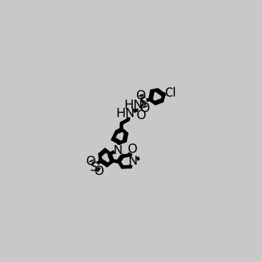 CN1CCc2c(n(-c3ccc(CCNC(=O)NS(=O)(=O)c4ccc(Cl)cc4)cc3)c3ccc(S(C)(=O)=O)cc23)C1=O